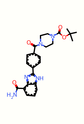 CC(C)(C)OC(=O)N1CCN(C(=O)c2ccc(-c3nc4c(C(N)=O)cccc4[nH]3)cc2)CC1